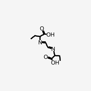 CCC(N=CC=NC(CC)C(=O)O)C(=O)O